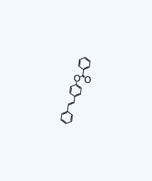 O=C(Oc1ccc(C=Cc2ccccc2)cc1)c1ccccc1